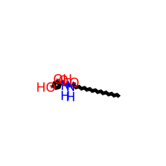 CCCCCCCCCCCCCCCCCC(=O)NCNC(=O)c1ccc(O)cc1O